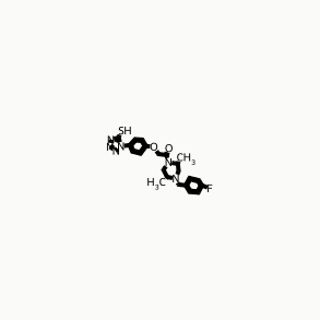 CC1CN(C(=O)COc2ccc(-n3nnnc3S)cc2)C(C)CN1Cc1ccc(F)cc1